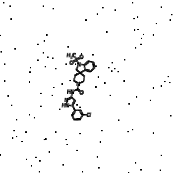 CS(=O)(=O)N1CC2(CCN(C(=O)Nc3cc(-c4cccc(Cl)c4)[nH]n3)CC2)c2ccccc21